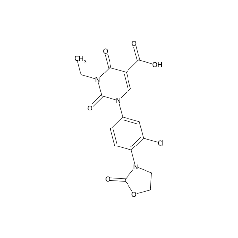 CCn1c(=O)c(C(=O)O)cn(-c2ccc(N3CCOC3=O)c(Cl)c2)c1=O